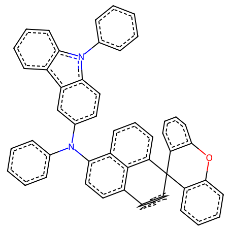 c1ccc(N(c2ccc3c(c2)c2ccccc2n3-c2ccccc2)c2ccc3c4c(cccc24)C2(c4ccccc4Oc4ccccc42)c2ccccc2-3)cc1